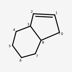 [CH]1C=CC2CCCCC12